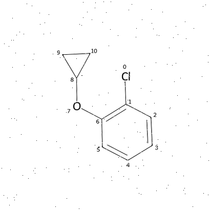 Clc1ccc[c]c1OC1CC1